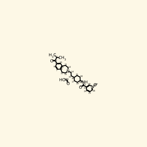 CC(C)C(=O)c1ccc2c(c1)CCN(CCC1CCC(NC(=O)c3ccc[n+]([O-])c3)CC1)CC2.O=CO